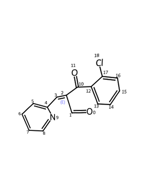 O=C/C(=C\c1ccccn1)C(=O)c1ccccc1Cl